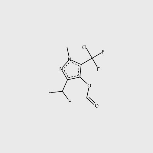 Cn1nc(C(F)F)c(OC=O)c1C(F)(F)Cl